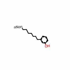 CCCCCCCCCCCCCCCCc1cccc(O)c1